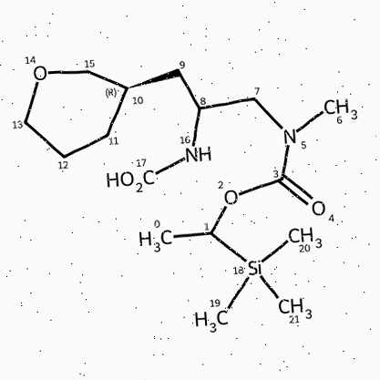 CC(OC(=O)N(C)CC(C[C@H]1CCCOC1)NC(=O)O)[Si](C)(C)C